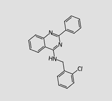 Clc1ccccc1CNc1nc(-c2ccccc2)nc2ccccc12